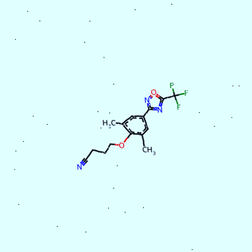 Cc1cc(-c2noc(C(F)(F)F)n2)cc(C)c1OCCCC#N